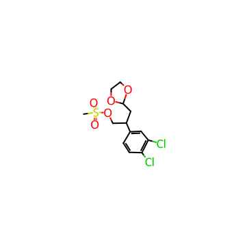 CS(=O)(=O)OCC(CC1OCCO1)c1ccc(Cl)c(Cl)c1